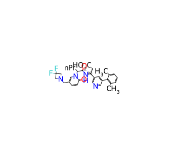 CCCC(C(=O)N[C@@H](CC(=O)O)c1cncc(-c2c(C)cccc2C)c1)n1cc(CN2CC(F)(F)C2)ccc1=O